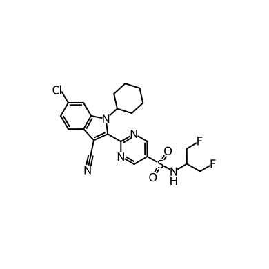 N#Cc1c(-c2ncc(S(=O)(=O)NC(CF)CF)cn2)n(C2CCCCC2)c2cc(Cl)ccc12